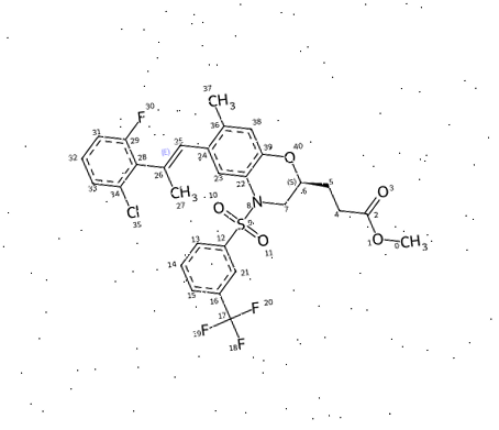 COC(=O)CC[C@H]1CN(S(=O)(=O)c2cccc(C(F)(F)F)c2)c2cc(/C=C(\C)c3c(F)cccc3Cl)c(C)cc2O1